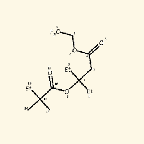 CCC(CC)(CC(=O)OCC(F)(F)F)OC(=O)C(C)(C)CC